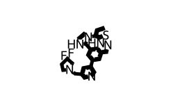 FC1(F)CCN(Cc2cncc(-c3cc(C4NC=CN4c4ccsc4)c4[nH]ncc4c3)c2)C1